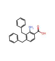 Nc1c(C(=O)O)ccc(Cc2ccccc2)c1Cc1ccccc1